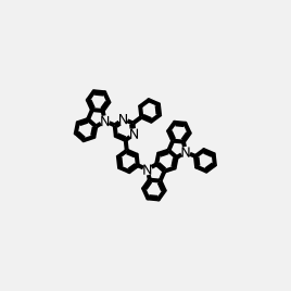 C1=CCCC(c2nc(-c3cccc(-n4c5ccccc5c5cc6c(cc54)c4ccccc4n6-c4ccccc4)c3)cc(-n3c4ccccc4c4ccccc43)n2)=C1